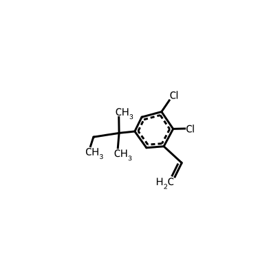 C=Cc1cc(C(C)(C)CC)cc(Cl)c1Cl